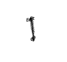 C=CC(=O)OCCCCCCCCCCCCCCCCCCN(CC)CC